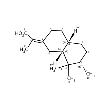 CC(C(=O)O)=C1CC[C@@H]2CC[C@H](C)C(C)(C)[C@@H]2C1